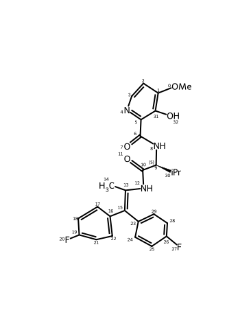 COc1ccnc(C(=O)N[C@H](C(=O)NC(C)=C(c2ccc(F)cc2)c2ccc(F)cc2)C(C)C)c1O